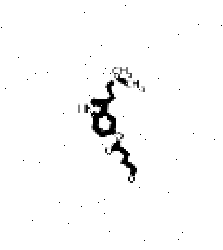 CN(C)CCc1c[nH]c2ccc(OC(=O)CCC=O)cc12